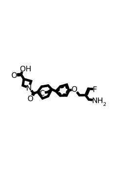 NCC(=CF)COc1ccc(C23CCC(C(=O)N4CC(C(=O)O)C4)(CC2)CC3)cc1